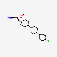 CO[C@]1(C=CC#N)CC[C@H]([C@H]2CC[C@H](c3ccc(F)cc3)CC2)CC1